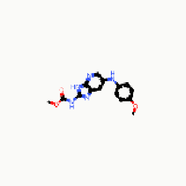 COC(=O)Nc1nc2cc(Nc3ccc(OC)cc3)cnc2[nH]1